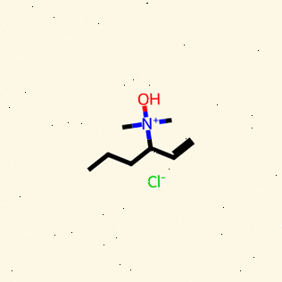 C=CC(CCC)[N+](C)(C)O.[Cl-]